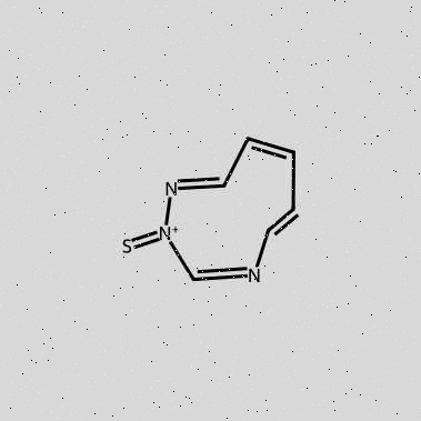 S=[N+]1\C=N/C=C/C=C\C=N\1